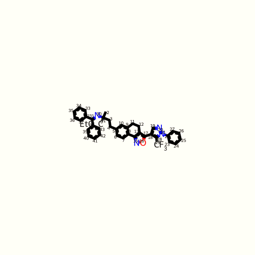 CCOC(=O)C(C)(CCc1ccc2c(c1)CCc1c-2noc1-c1cnn(-c2ccccc2)c1C(F)(F)F)N=C(c1ccccc1)c1ccccc1